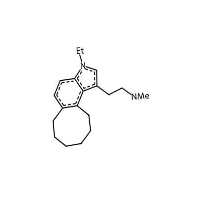 CCn1cc(CCNC)c2c3c(ccc21)CCCCCC3